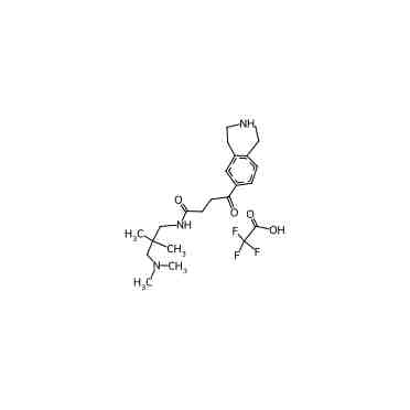 CN(C)CC(C)(C)CNC(=O)CCC(=O)c1ccc2c(c1)CCNCC2.O=C(O)C(F)(F)F